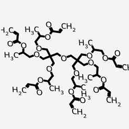 C=CC(=O)OCC(C)OCC(COCC(C)OC(=O)C=C)(COCC(C)OC(=O)C=C)COCC(COCC(C)OC(=O)C=C)(COCC(C)OC(=O)C=C)COCC(C)OC(=O)C=C